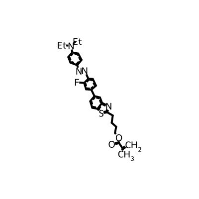 C=C(C)C(=O)OCCCCc1nc2cc(-c3ccc(/N=N/c4ccc(N(CC)CC)cc4)c(F)c3)ccc2s1